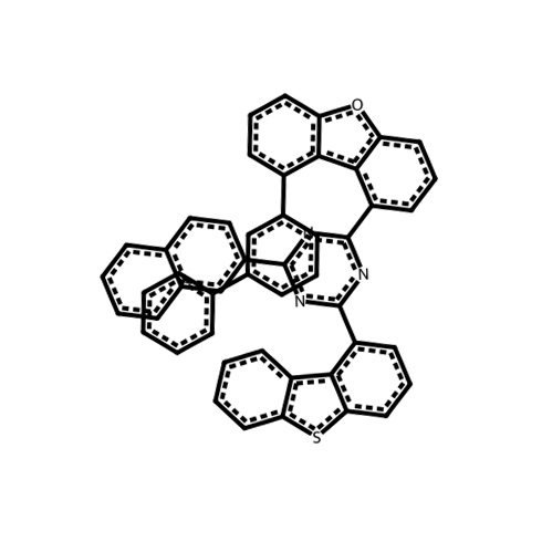 c1ccc(-c2cccc(-c3cccc4oc5cccc(-c6nc(-c7ccc8ccccc8c7)nc(-c7cccc8sc9ccccc9c78)n6)c5c34)c2)cc1